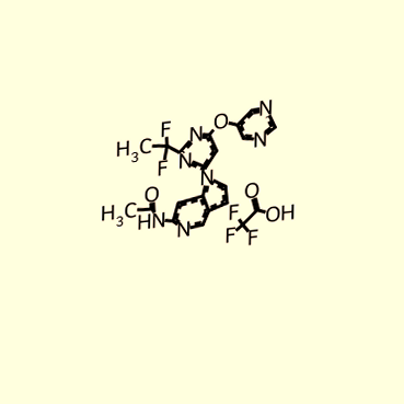 CC(=O)Nc1cc2c(ccn2-c2cc(Oc3cncnc3)nc(C(C)(F)F)n2)cn1.O=C(O)C(F)(F)F